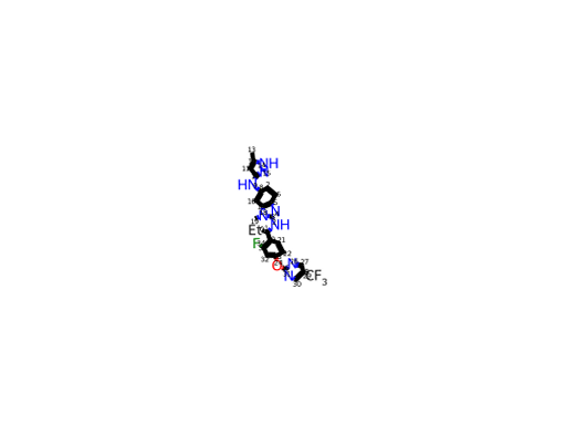 CCC(Nc1nc2ccc(Nc3cc(C)[nH]n3)cc2n1C)c1ccc(Oc2ncc(C(F)(F)F)cn2)cc1F